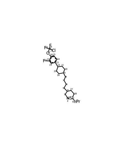 CCC[SiH]1CCC(CCCCC2CCC(c3ccc(OC(F)(F)Cl)c(F)c3)CC2)CC1